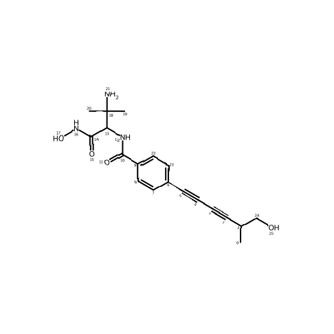 CC(C#CC#Cc1ccc(C(=O)NC(C(=O)NO)C(C)(C)N)cc1)CO